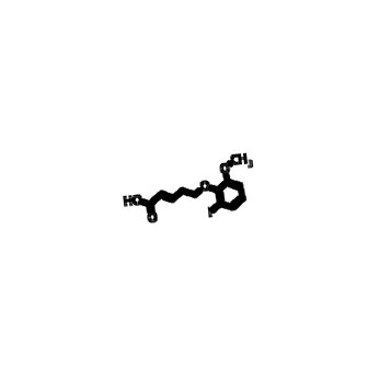 COc1cccc(I)c1OCC/C=C/C(=O)O